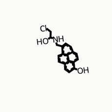 Oc1ccc2ccc3c(CNC(O)CCl)ccc4ccc1c2c43